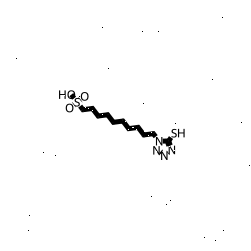 O=S(=O)(O)CCCCCCCCCCn1nnnc1S